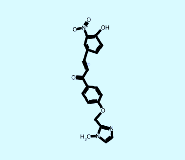 Cn1ccnc1COc1ccc(C(=O)/C=C/c2ccc(O)c([N+](=O)[O-])c2)cc1